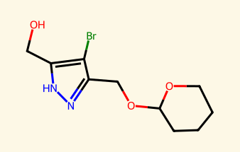 OCc1[nH]nc(COC2CCCCO2)c1Br